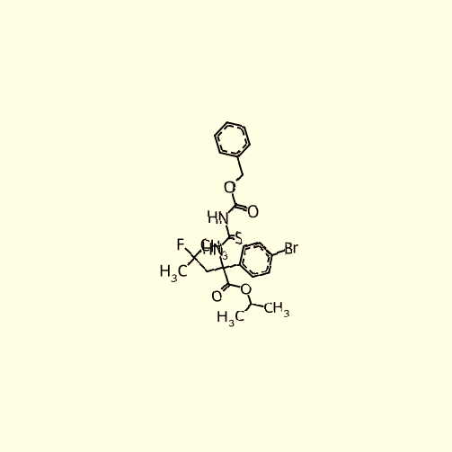 CC(C)OC(=O)C(CC(C)(C)F)(NC(=S)NC(=O)OCc1ccccc1)c1ccc(Br)cc1